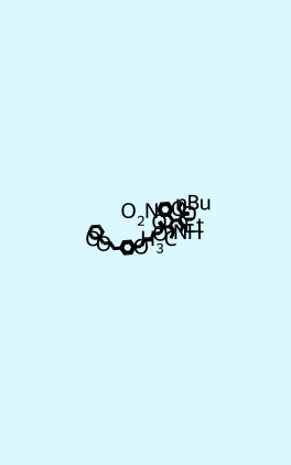 CCCCOC(=O)C1=C(CC)NC(C)=C(C(=O)OCCCOc2ccc(CCOC3CCCCO3)cc2)C1c1cccc([N+](=O)[O-])c1